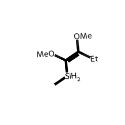 CCC(OC)=C(OC)[SiH2]C